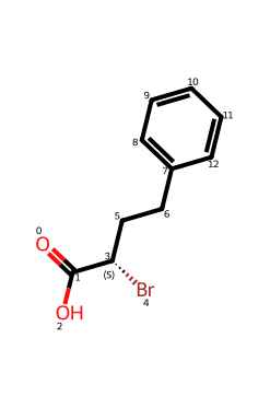 O=C(O)[C@@H](Br)CCc1ccccc1